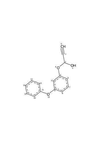 C#CC(O)Oc1cccc(Oc2ccccc2)c1